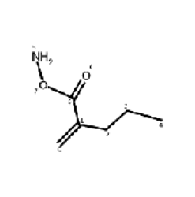 C=C(CCC)C(=O)ON